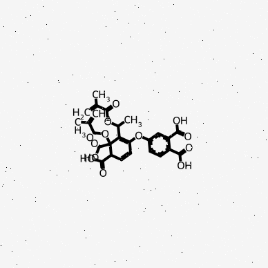 C=C(C)C(=O)OC(C)C1=C(Oc2ccc(C(=O)O)c(C(=O)O)c2)C=CC(C(=O)O)C1(OC(=O)C(=C)C)C(=O)O